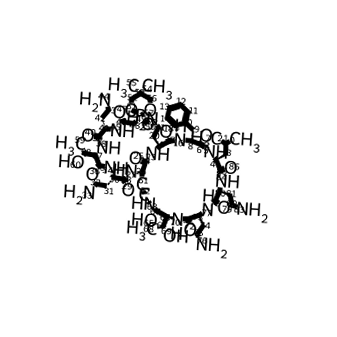 CC(C)C[C@@H]1NC(=O)[C@@H](Cc2ccccc2)NC(=O)[C@H](CCN)NC(=O)[C@@H](NC(=O)[C@H](CCN)NC(=O)[C@@H](NC(=O)[C@H](CCN)NC(=O)CP2(=O)OCC(C)(C)CO2)C(C)O)CCNC(O)[C@H]([C@H](C)O)NC(=O)[C@H](CCN)NC(=O)[C@H](CCN)NC1=O